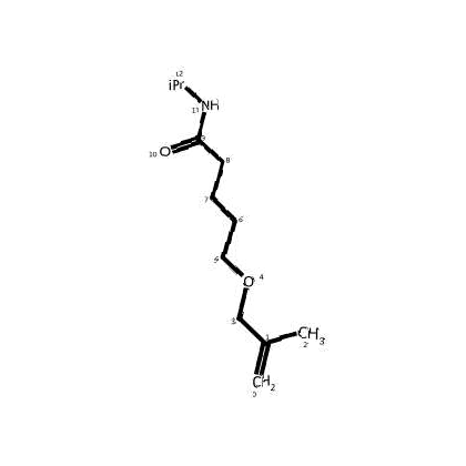 C=C(C)COCCCCC(=O)NC(C)C